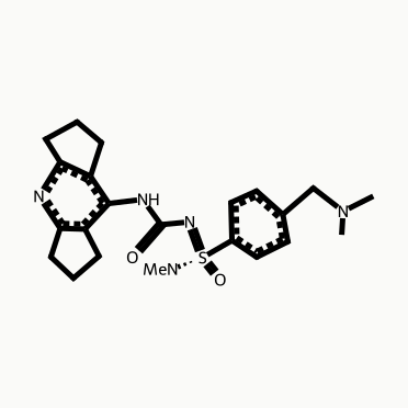 CN[S@](=O)(=NC(=O)Nc1c2c(nc3c1CCC3)CCC2)c1ccc(CN(C)C)cc1